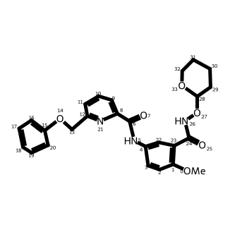 COc1ccc(NC(=O)c2cccc(COc3ccccc3)n2)cc1C(=O)NOC1CCCCO1